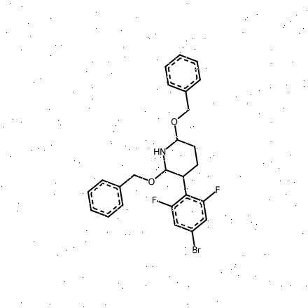 Fc1cc(Br)cc(F)c1C1CCC(OCc2ccccc2)NC1OCc1ccccc1